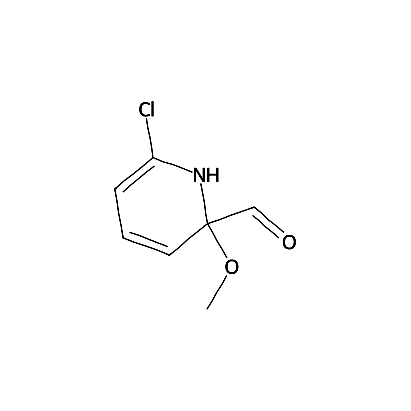 COC1(C=O)C=CC=C(Cl)N1